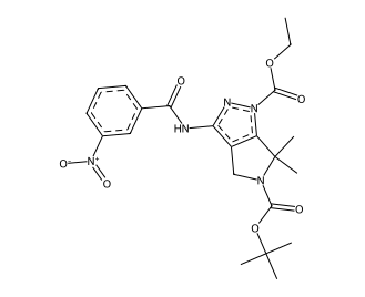 CCOC(=O)n1nc(NC(=O)c2cccc([N+](=O)[O-])c2)c2c1C(C)(C)N(C(=O)OC(C)(C)C)C2